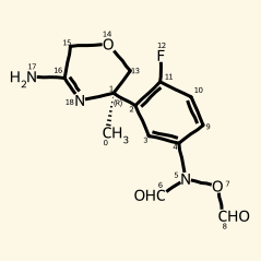 C[C@@]1(c2cc(N(C=O)OC=O)ccc2F)COCC(N)=N1